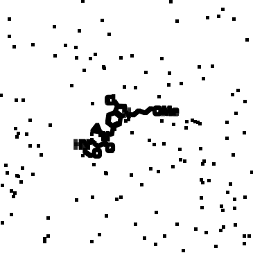 COCCCCn1cc(Cl)c2ccc(CN(C(=O)C3CNCCO3)C3CC3)cc21